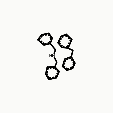 c1ccc(CNCc2ccccc2)cc1.c1ccc(Cc2ccccc2)cc1